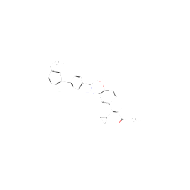 COC(=O)/C(C)=C(/c1ccc2c(c1)NC(c1ccc(-c3cc(OC)ccc3F)cc1)CO2)C1CC1